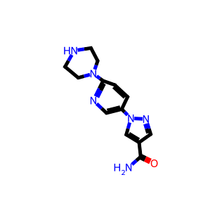 NC(=O)c1cnn(-c2ccc(N3CCNCC3)nc2)c1